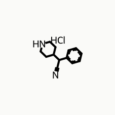 Cl.N#CC(c1ccccc1)C1CCNCC1